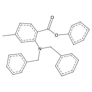 Cc1ccc(C(=O)Oc2ccccc2)c(N(Cc2ccccc2)Cc2ccccc2)c1